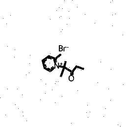 CCC(=O)C(C)(C)[n+]1ccccc1C.[Br-]